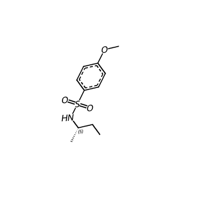 CC[C@H](C)NS(=O)(=O)c1ccc(OC)cc1